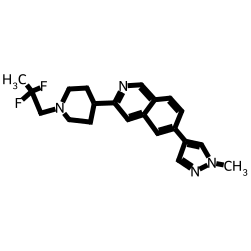 Cn1cc(-c2ccc3cnc(C4CCN(CC(C)(F)F)CC4)cc3c2)cn1